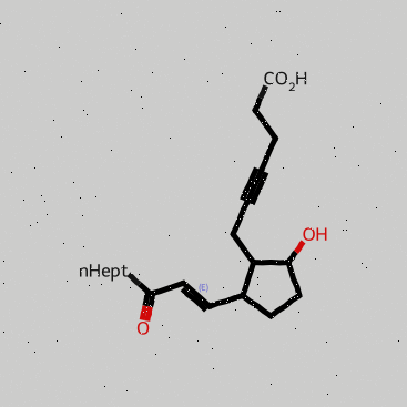 CCCCCCCC(=O)/C=C/C1CCC(O)C1CC#CCCC(=O)O